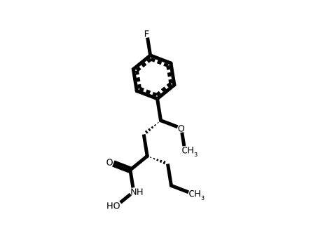 CCC[C@@H](C[C@@H](OC)c1ccc(F)cc1)C(=O)NO